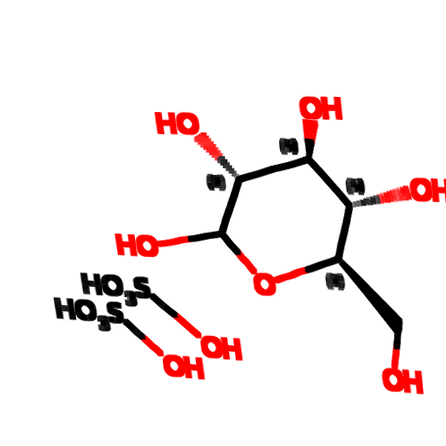 O=S(=O)(O)O.O=S(=O)(O)O.OC[C@H]1OC(O)[C@H](O)[C@@H](O)[C@@H]1O